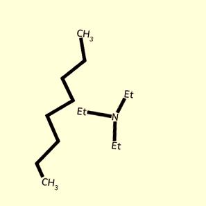 CCCCCCCC.CCN(CC)CC